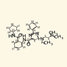 CCN(CCN(C)C)c1cc(C(=O)Nc2ccccc2C(=O)NC2CCCCC2)nc(-c2ccccc2)n1